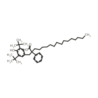 CCCCCCCCCCCCCCCC(Cc1cc(C(C)(C)C)c(O)c(C(C)(C)C)c1)(C(=O)O)c1ccccc1